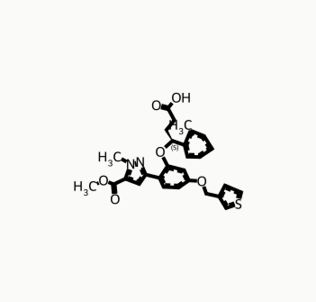 COC(=O)c1cc(-c2ccc(OCc3ccsc3)cc2O[C@@H](CCC(=O)O)c2ccccc2C)nn1C